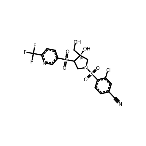 N#Cc1ccc(S(=O)(=O)N2CC(S(=O)(=O)c3ccc(C(F)(F)F)nc3)[C@](O)(CO)C2)c(Cl)c1